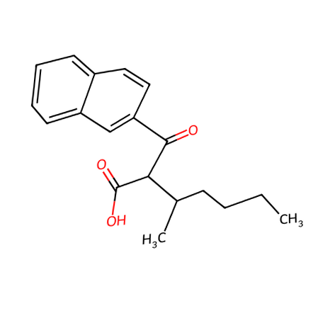 CCCCC(C)C(C(=O)O)C(=O)c1ccc2ccccc2c1